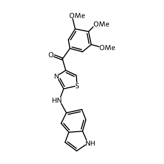 COc1cc(C(=O)c2csc(Nc3ccc4[nH]ccc4c3)n2)cc(OC)c1OC